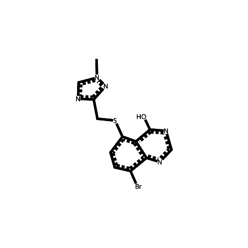 Cn1cnc(CSc2ccc(Br)c3ncnc(O)c23)n1